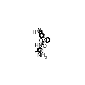 Cc1cc(NC(=O)C(=O)N2CCCC[C@H]2c2ccc3[nH]ncc3c2)cnc1N